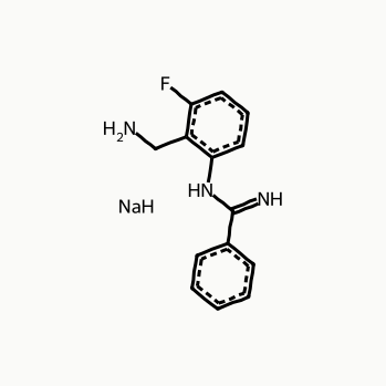 N=C(Nc1cccc(F)c1CN)c1ccccc1.[NaH]